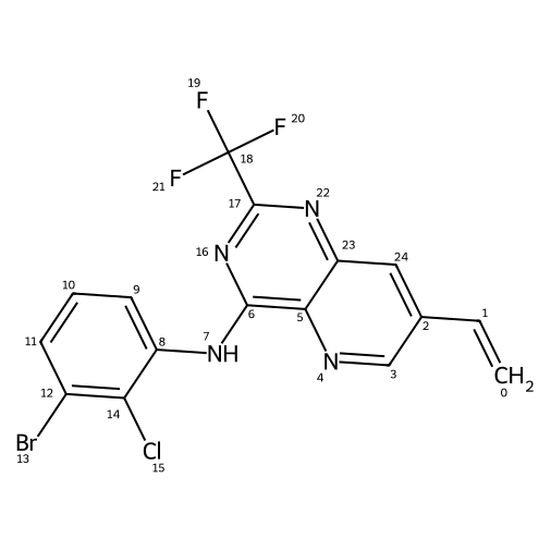 C=Cc1cnc2c(Nc3cccc(Br)c3Cl)nc(C(F)(F)F)nc2c1